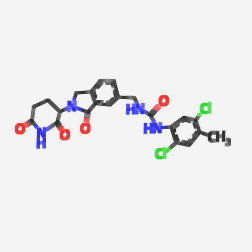 Cc1cc(Cl)c(NC(=O)NCc2ccc3c(c2)C(=O)N(C2CCC(=O)NC2=O)C3)cc1Cl